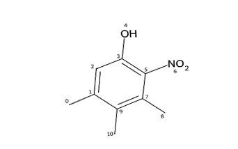 Cc1cc(O)c([N+](=O)[O-])c(C)c1C